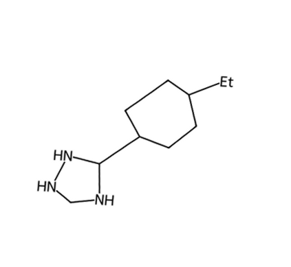 CCC1CCC(C2NCNN2)CC1